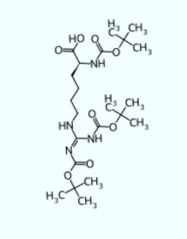 CC(C)(C)OC(=O)N=C(NCCCC[C@H](NC(=O)OC(C)(C)C)C(=O)O)NC(=O)OC(C)(C)C